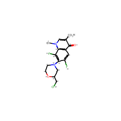 CCn1cc(C(=O)O)c(=O)c2cc(F)c(N3CCOC(CCl)C3)c(F)c21